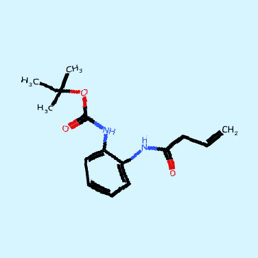 C=CCC(=O)Nc1ccccc1NC(=O)OC(C)(C)C